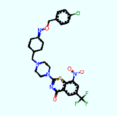 O=c1nc(N2CCN(CC3CCC(=NOCc4ccc(Cl)cc4)CC3)CC2)sc2c([N+](=O)[O-])cc(C(F)(F)F)cc12